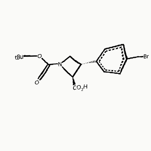 CC(C)(C)OC(=O)N1C[C@H](c2ccc(Br)cc2)[C@H]1C(=O)O